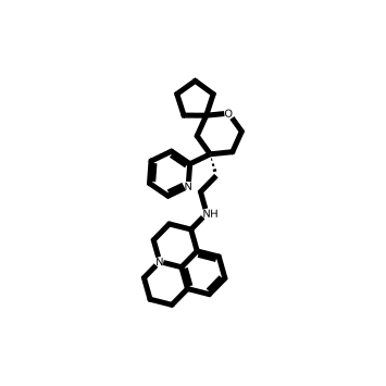 c1ccc([C@]2(CCNC3CCN4CCCc5cccc3c54)CCOC3(CCCC3)C2)nc1